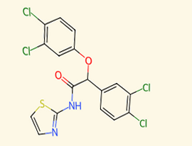 O=C(Nc1nccs1)C(Oc1ccc(Cl)c(Cl)c1)c1ccc(Cl)c(Cl)c1